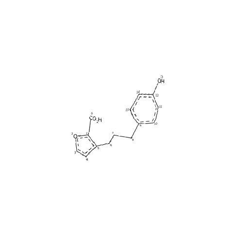 O=C(O)c1occc1CCCc1ccc(O)cc1